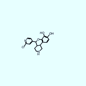 Oc1ccc2c(c1O)OC(c1ccnc(Cl)c1)C1CCNCC21